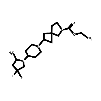 CCOC(=O)N1CCC2(CC(N3CCC(N4CC(F)(F)CC4C)CC3)C2)C1